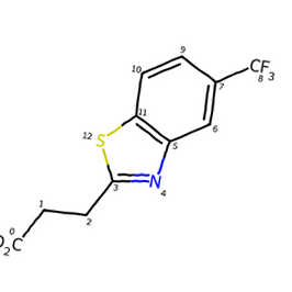 O=C(O)CCc1nc2cc(C(F)(F)F)ccc2s1